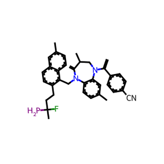 C=C(c1ccc(C#N)cc1)N1CC(C)C(=C)N(Cc2c(CCC(C)(F)P)ccc3cc(C)ccc23)c2ccc(C)cc21